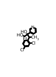 CCC(O)C(O)(c1cccnc1)C(C)c1ccc(Cl)cc1Cl